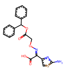 Nc1nc(C(=NOCC(=O)OC(c2ccccc2)c2ccccc2)C(=O)O)cs1